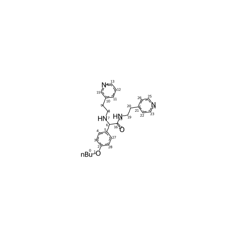 CCCCOc1ccc(C(NCCc2cccnc2)C(=O)NCCc2ccncc2)cc1